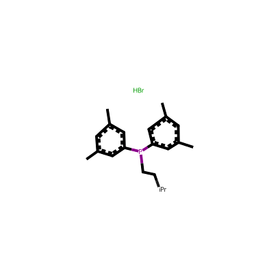 Br.Cc1cc(C)cc(P(CCC(C)C)c2cc(C)cc(C)c2)c1